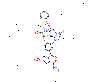 C[C@H](NC(=O)C(C)(F)F)[C@H](Oc1ccc(Nc2cccc(C(=O)N3C[C@H](O)C[C@H]3C(N)=O)c2)c(NI)c1)c1ccccc1